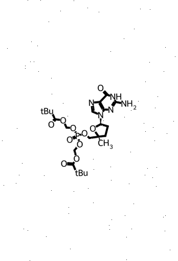 CC(C)(C)C(=O)OCOP(=O)(OCOC(=O)C(C)(C)C)OC[C@]1(C)CC[C@H](n2cnc3c(=O)[nH]c(N)nc32)O1